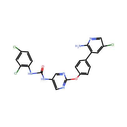 Nc1ncc(Cl)cc1-c1ccc(Oc2ncc(NC(=O)Nc3ccc(Cl)cc3Cl)cn2)cc1